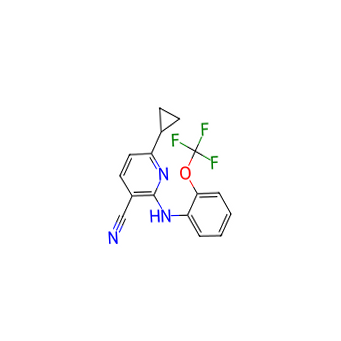 N#Cc1ccc(C2CC2)nc1Nc1ccccc1OC(F)(F)F